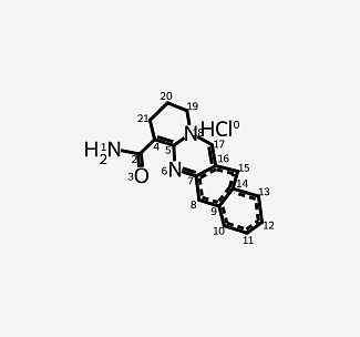 Cl.NC(=O)C1=C2N=c3cc4ccccc4cc3=CN2CCC1